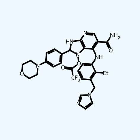 CCc1c(Cn2ccnc2)cccc1Nc1c(C(N)=O)cnc2c1N(OC(=O)C(F)(F)F)C(c1ccc(N3CCOCC3)cc1)N2